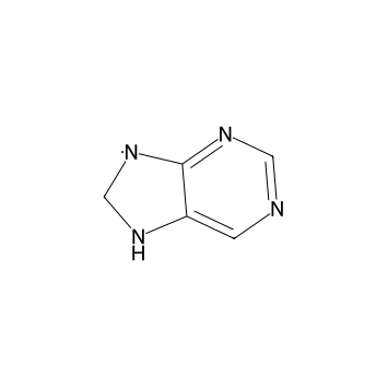 c1ncc2c(n1)[N]CN2